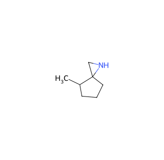 CC1CCCC12CN2